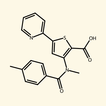 Cc1ccc(C(=O)N(C)c2cc(-c3ccccn3)sc2C(=O)O)cc1